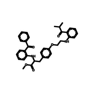 COC(=O)C(Cc1ccc(OCCNc2ccccc2C(=O)C(C)C)cc1)Nc1ccccc1C(=O)c1ccccc1